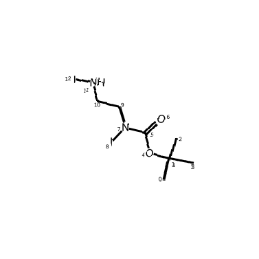 CC(C)(C)OC(=O)N(I)CCNI